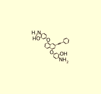 Nc1ccc(Oc2cc(C#Cc3ccccc3)cc3c(Oc4ccc(N)c(O)c4)cccc23)cc1O